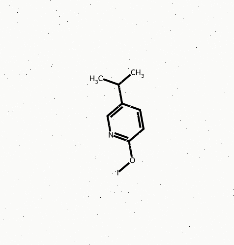 CC(C)c1ccc(OI)nc1